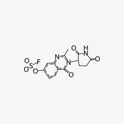 Cc1nc2cc(OS(=O)(=O)F)ccc2c(=O)n1C1CCC(=O)NC1=O